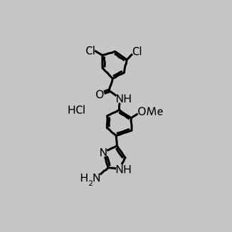 COc1cc(-c2c[nH]c(N)n2)ccc1NC(=O)c1cc(Cl)cc(Cl)c1.Cl